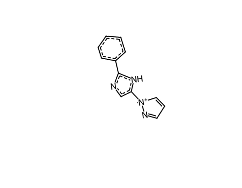 C1=C[N+](c2cnc(-c3ccccc3)[nH]2)N=C1